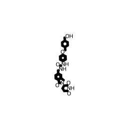 O=C1CCC(N2Cc3cc(CNC(=O)Nc4ccc(OCC5CCC(CO)CC5)cc4)ccc3C2=O)C(=O)N1